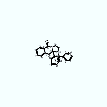 O=C(c1cccnc1)N1CCN2C(=O)c3ccccc3CC12c1ccccc1